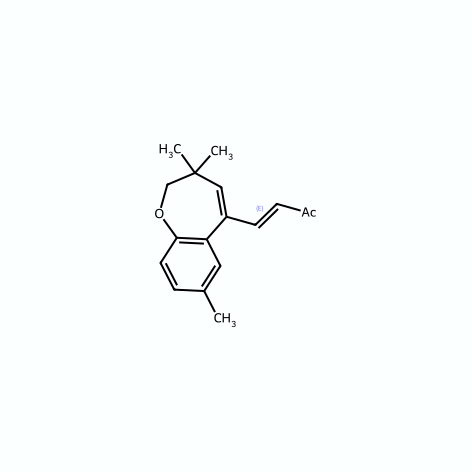 CC(=O)/C=C/C1=CC(C)(C)COc2ccc(C)cc21